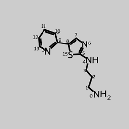 NCCCNc1ncc(-c2[c]cccn2)s1